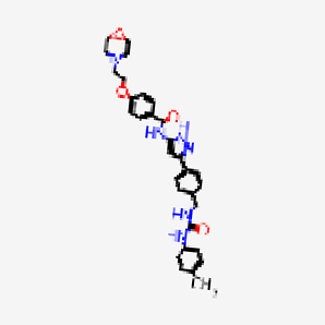 Cc1ccc(NC(=O)NCc2ccc(-c3cc(NC(=O)c4ccc(OCCN5CCOCC5)cc4)[nH]n3)cc2)cc1